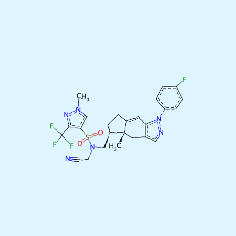 Cn1cc(S(=O)(=O)N(CC#N)C[C@H]2CCC3=Cc4c(cnn4-c4ccc(F)cc4)C[C@@]32C)c(C(F)(F)F)n1